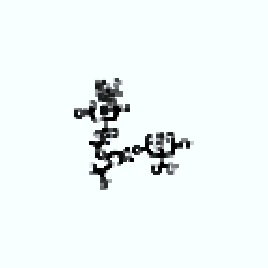 CC(=O)O[C@H](CC(=O)[O-])C[N+](C)(C)C.O=C([O-])CC(O)(CC(=O)[O-])C(=O)[O-].O=C([O-])CC(O)(CC(=O)[O-])C(=O)[O-].[Mg+2].[Mg+2].[Mg+2]